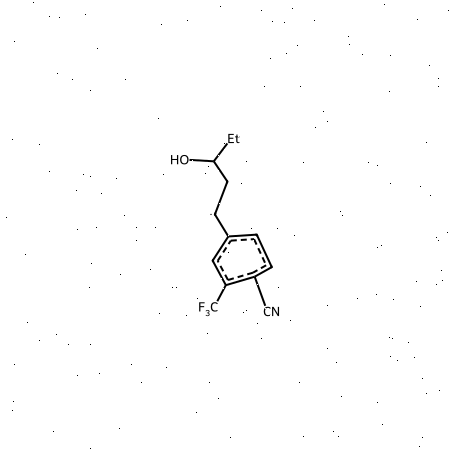 CCC(O)C[CH]c1ccc(C#N)c(C(F)(F)F)c1